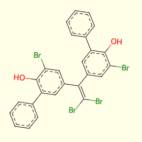 Oc1c(Br)cc(C(=C(Br)Br)c2cc(Br)c(O)c(-c3ccccc3)c2)cc1-c1ccccc1